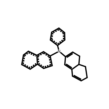 C1=CC2=CC(N(c3ccccc3)c3ccc4ccccc4c3)=CCC2CC1